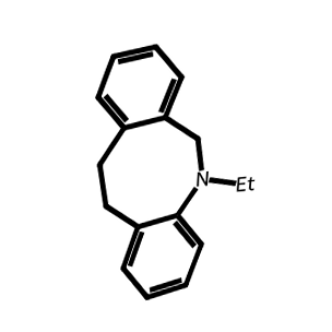 CCN1Cc2ccccc2CCc2ccccc21